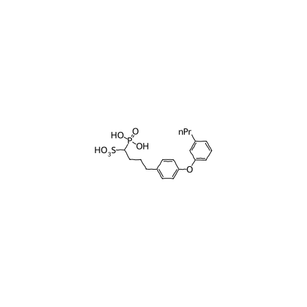 CCCc1cccc(Oc2ccc(CCCC(P(=O)(O)O)S(=O)(=O)O)cc2)c1